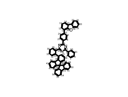 c1ccc(-c2nc(-c3ccc(-c4cccc5c4oc4ccccc45)cc3)nc(-c3ccccc3-c3cccc4c3-c3ccccc3C43c4ccccc4-c4ccccc43)n2)cc1